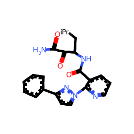 CC(C)CC(NC(=O)c1cccnc1-n1ccc(-c2ccccc2)n1)C(=O)C(N)=O